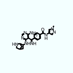 Cn1cc(NC(=O)c2ccc(C(=N)c3c(N)ncnc3NC3CC4CNC3C4)cc2)cn1